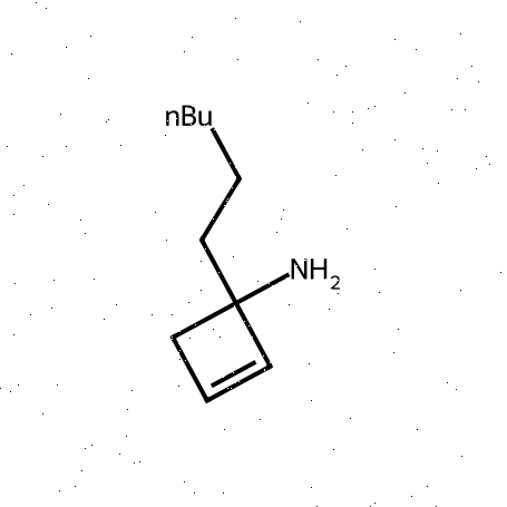 CCCCCCC1(N)C=CC1